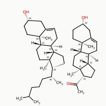 CC(=O)[C@H]1CC[C@H]2[C@@H]3CC=C4C[C@@H](O)CC[C@]4(C)[C@H]3CC[C@]12C.CC(C)CCC[C@@H](C)[C@H]1CC[C@H]2[C@@H]3CC=C4C[C@@H](O)CC[C@]4(C)[C@H]3CC[C@]12C